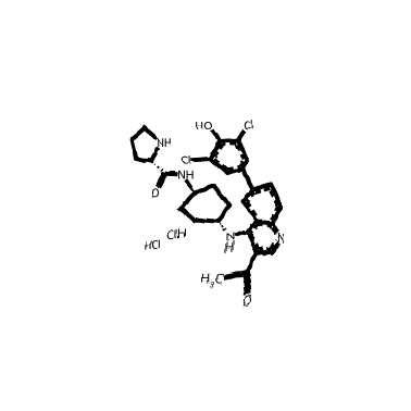 CC(=O)c1cnc2ccc(-c3cc(Cl)c(O)c(Cl)c3)cc2c1N[C@H]1CC[C@H](NC(=O)[C@@H]2CCCN2)CC1.Cl.Cl